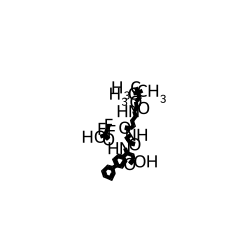 CC(C)(C)COC(=O)NCCCC(=O)NCC(=O)NC(CC(=O)O)c1ccc(-c2ccccc2)cc1.O=C(O)C(F)(F)F